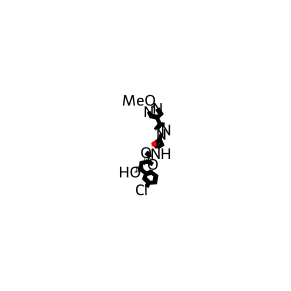 COc1ncc(-c2cnn(C34CC(NC(=O)[C@@H]5C[C@@H](O)c6cc(Cl)ccc6O5)(C3)C4)c2)cn1